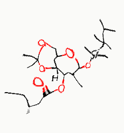 CC[C@@H](C)CC(=O)O[C@@H]1C(C)[C@H](O[Si](C)(C)C(C)(C)C(C)C)OC2COC(C)(C)O[C@H]21